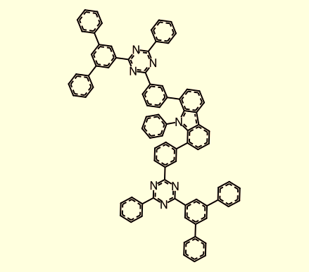 c1ccc(-c2cc(-c3ccccc3)cc(-c3nc(-c4ccccc4)nc(-c4cccc(-c5cccc6c7cccc(-c8cccc(-c9nc(-c%10ccccc%10)nc(-c%10cc(-c%11ccccc%11)cc(-c%11ccccc%11)c%10)n9)c8)c7n(-c7ccccc7)c56)c4)n3)c2)cc1